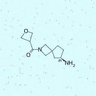 N[C@@H]1CCC2(C1)CN(C(=O)C1COC1)C2